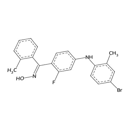 Cc1cc(Br)ccc1Nc1ccc(C(=NO)c2ccccc2C)c(F)c1